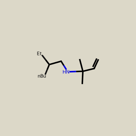 C=CC(C)(C)NCC(CC)CCCC